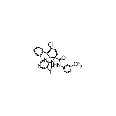 O=C(Nc1cccc(C(F)(F)F)c1)C1(Nc2ncncc2I)C=CC(Cl)=C(c2ccccc2)C1